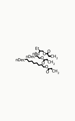 C=CC(=O)OCC(CC)CCCC.C=CC(=O)OCCCCCCCCCCCC.C=CC(=O)OCCCCCCCCCCCCCCCCCC